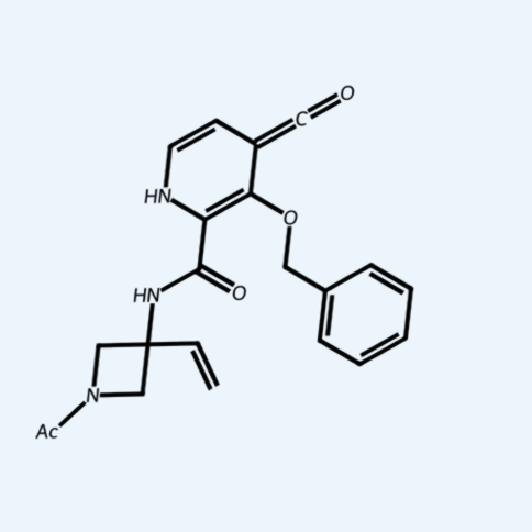 C=CC1(NC(=O)C2=C(OCc3ccccc3)C(=C=O)C=CN2)CN(C(C)=O)C1